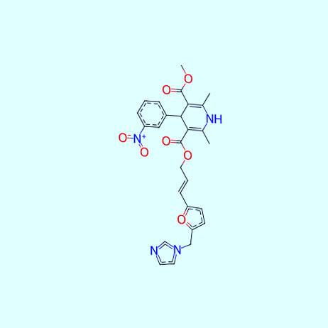 COC(=O)C1=C(C)NC(C)=C(C(=O)OCC=Cc2ccc(Cn3ccnc3)o2)C1c1cccc([N+](=O)[O-])c1